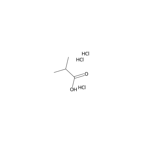 CC(C)C(=O)O.Cl.Cl.Cl